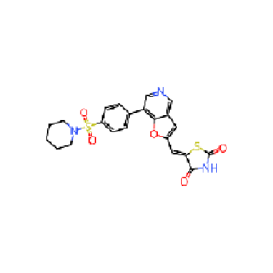 O=C1NC(=O)/C(=C/c2cc3cncc(-c4ccc(S(=O)(=O)N5CCCCC5)cc4)c3o2)S1